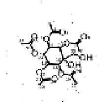 CC(=O)OC1C(OC(C)=O)[C@](O)(CO)C(OC(C)=O)C(OC(C)=O)[C@@H]1OC(C)=O